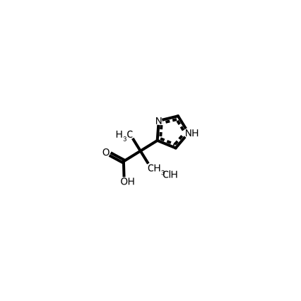 CC(C)(C(=O)O)c1c[nH]cn1.Cl